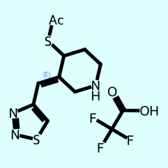 CC(=O)SC1CCNC/C1=C\c1csnn1.O=C(O)C(F)(F)F